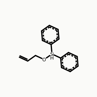 C=CCO[SiH](c1ccccc1)c1ccccc1